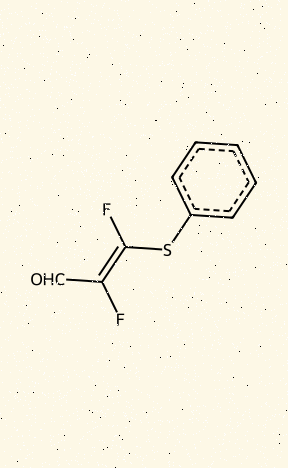 O=CC(F)=C(F)Sc1ccccc1